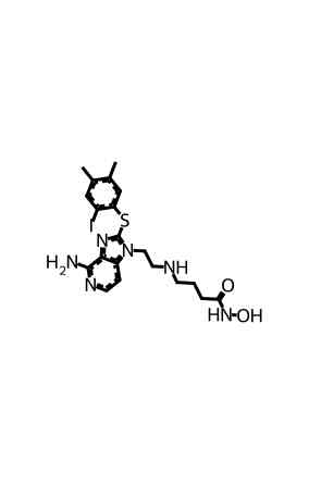 Cc1cc(I)c(Sc2nc3c(N)nccc3n2CCNCCCC(=O)NO)cc1C